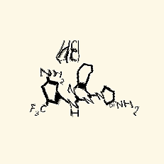 Cl.Cl.Nc1cc(Nc2nc3c(c(N4CC[C@H](N)C4)n2)CCCC3)cc(C(F)(F)F)c1